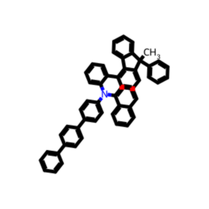 CC1(c2ccccc2)c2ccccc2-c2c(-c3ccccc3N(c3ccc(-c4ccc(-c5ccccc5)cc4)cc3)c3cccc4ccccc34)cccc21